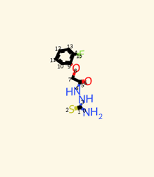 NC(=S)NNC(=O)COc1ccccc1F